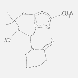 CC1(C)Oc2cc(C(=O)O)sc2C(N2CCCCC2=O)C1O